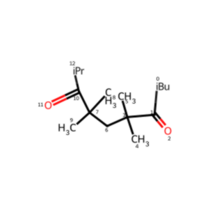 CCC(C)C(=O)C(C)(C)CC(C)(C)C(=O)C(C)C